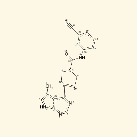 Cc1c[nH]c2ncnc(C3=CCN(C(=O)Nc4cccc(C#N)c4)CC3)c12